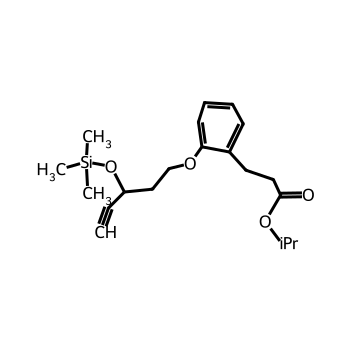 C#CC(CCOc1ccccc1CCC(=O)OC(C)C)O[Si](C)(C)C